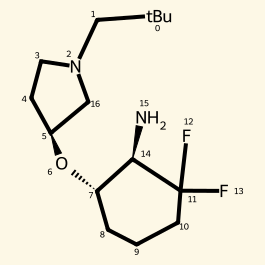 CC(C)(C)CN1CC[C@H](O[C@H]2CCCC(F)(F)[C@@H]2N)C1